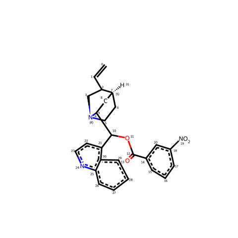 C=CC1C[N@]2CC[C@H]1CC2C(OC(=O)c1cccc([N+](=O)[O-])c1)c1ccnc2ccccc12